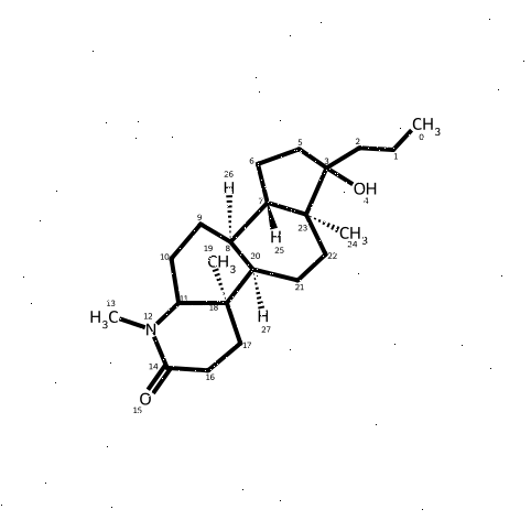 CCCC1(O)CC[C@H]2[C@@H]3CCC4N(C)C(=O)CC[C@]4(C)[C@@H]3CC[C@@]21C